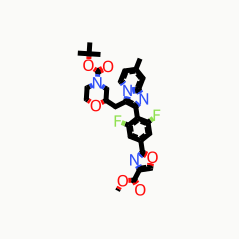 COC(=O)c1coc(-c2cc(F)c(-c3nc4cc(C)ccn4c3CC3CN(C(=O)OC(C)(C)C)CCO3)c(F)c2)n1